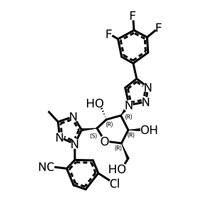 Cc1nc([C@@H]2O[C@H](CO)[C@H](O)[C@H](n3cc(-c4cc(F)c(F)c(F)c4)nn3)[C@H]2O)n(-c2cc(Cl)ccc2C#N)n1